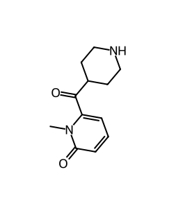 Cn1c(C(=O)C2CCNCC2)cccc1=O